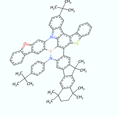 CC(C)(C)c1ccc(N2B3c4cc5c(cc4-n4c6ccc(C(C)(C)C)cc6c6c7c(sc8ccccc87)c(c3c64)-c3cc4c(cc32)-c2cc3c(cc2C4(C)C)C(C)(C)CCC3(C)C)oc2ccccc25)cc1